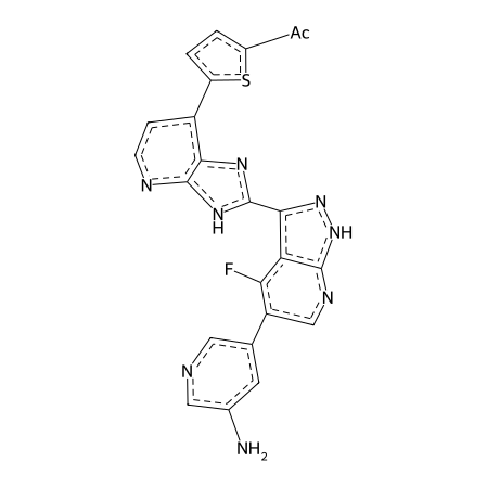 CC(=O)c1ccc(-c2ccnc3[nH]c(-c4n[nH]c5ncc(-c6cncc(N)c6)c(F)c45)nc23)s1